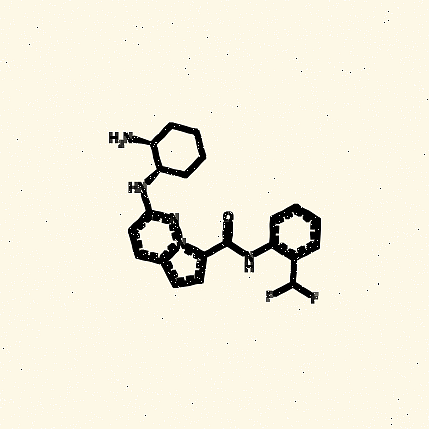 N[C@H]1CCCC[C@H]1Nc1ccc2ccc(C(=O)Nc3ccccc3C(F)F)n2n1